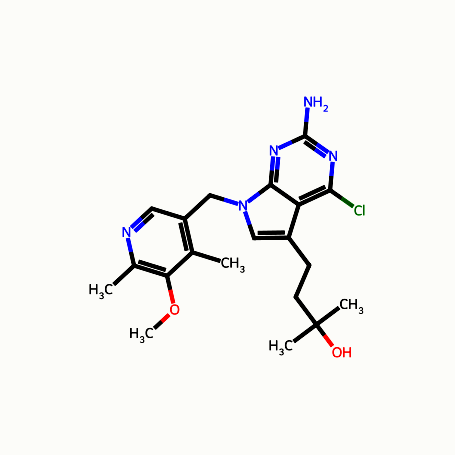 COc1c(C)ncc(Cn2cc(CCC(C)(C)O)c3c(Cl)nc(N)nc32)c1C